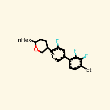 CCCCCCC1CCC(c2ccc(-c3ccc(CC)c(F)c3F)cc2F)CO1